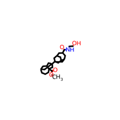 COC(=O)C12CCCC3CC1CC(C14CC5CC(C(=O)NCCO)CC(C1)C(C5)C4)(C3)C2